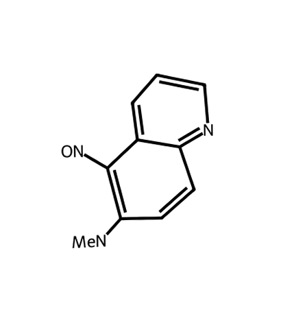 CNc1ccc2ncccc2c1N=O